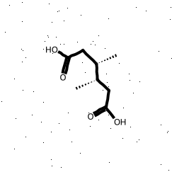 C[C@@H](CC(=O)O)[C@@H](C)CC(=O)O